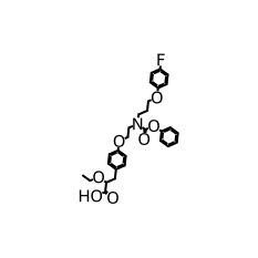 CCOC(Cc1ccc(OCCN(CCCOc2ccc(F)cc2)C(=O)Oc2ccccc2)cc1)C(=O)O